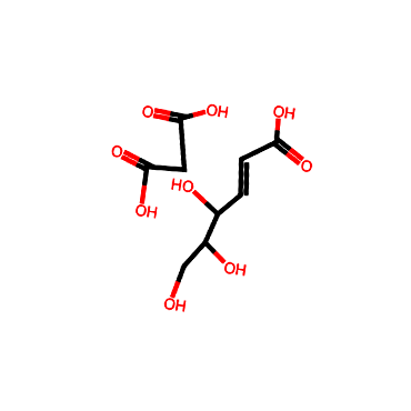 O=C(O)C=CC(O)C(O)CO.O=C(O)CC(=O)O